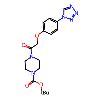 CC(C)(C)OC(=O)N1CCN(C(=O)COc2ccc(-n3cnnn3)cc2)CC1